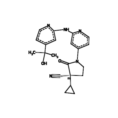 CC(C)(O)c1ccnc(Nc2cc(N3CC[C@@](C#N)(C4CC4)C3=O)ccn2)c1